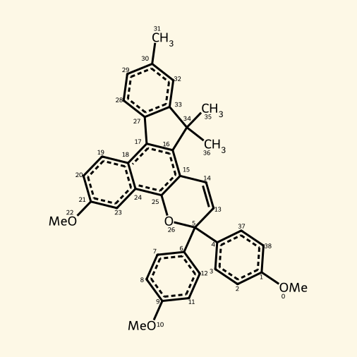 COc1ccc(C2(c3ccc(OC)cc3)C=Cc3c4c(c5ccc(OC)cc5c3O2)-c2ccc(C)cc2C4(C)C)cc1